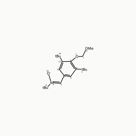 COCOc1c(C(C)(C)C)cc(C=[N+]([O-])C(C)(C)C)cc1C(C)(C)C